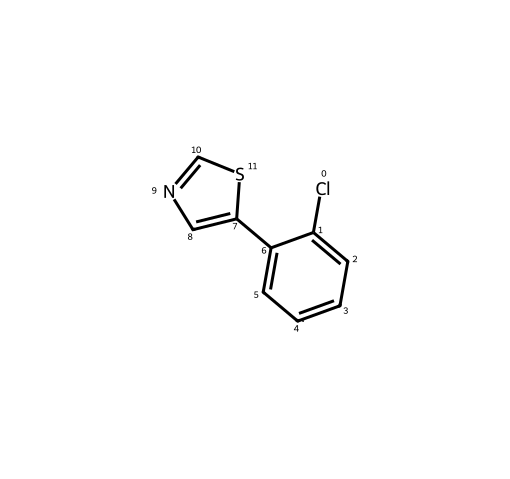 Clc1cc[c]cc1-c1cncs1